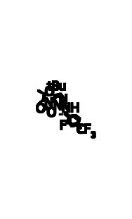 C[C@H](Nc1nccc(N2C(=O)OC[C@@H]2[C@@H](C)OC(C)(C)C)n1)c1ccc(C(F)(F)F)cc1F